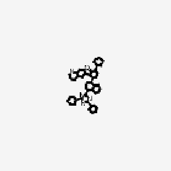 c1ccc(-c2nc(-c3ccccc3)nc(-c3ccc(-c4ccc(-c5ccccc5)c5oc6cc7ncccc7cc6c45)c4ccccc34)n2)cc1